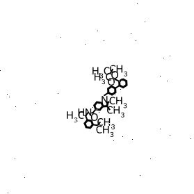 Cc1c(C)n(Cc2ccc(-c3ccccc3C(=O)OC(C)(C)C)cc2)c2ccc(C(=O)N[C@@H](C)c3cccc(C(C)C)c3)cc12